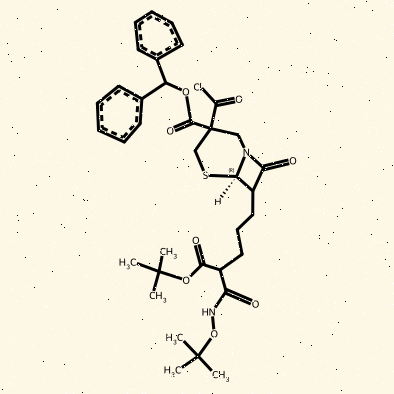 CC(C)(C)ONC(=O)C(CCCC1C(=O)N2CC(C(=O)Cl)(C(=O)OC(c3ccccc3)c3ccccc3)CS[C@H]12)C(=O)OC(C)(C)C